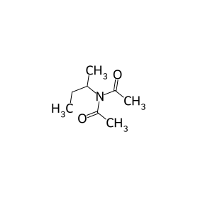 CCC(C)N(C(C)=O)C(C)=O